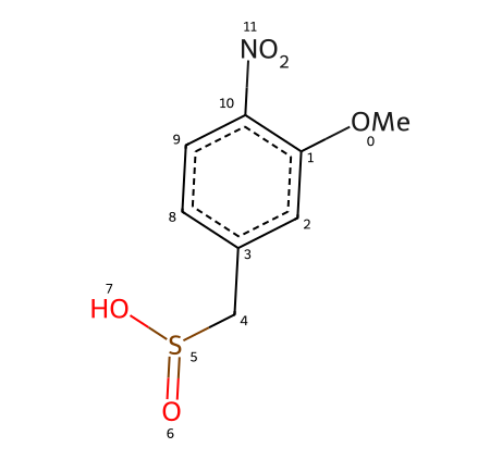 COc1cc(CS(=O)O)ccc1[N+](=O)[O-]